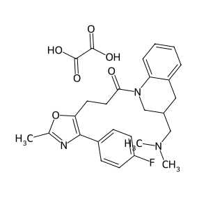 Cc1nc(-c2ccc(F)cc2)c(CCC(=O)N2CC(CN(C)C)Cc3ccccc32)o1.O=C(O)C(=O)O